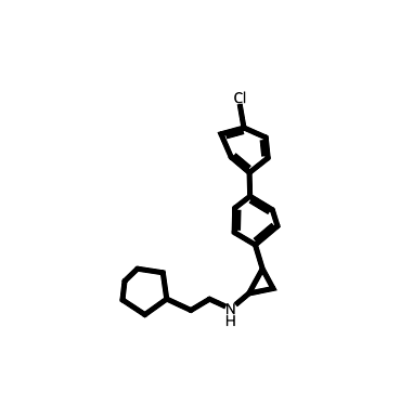 Clc1ccc(-c2ccc(C3CC3NCCC3CCCCC3)cc2)cc1